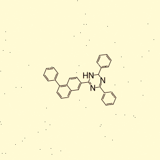 c1ccc(C2=NC(c3ccccc3)NC(c3ccc4c(-c5ccccc5)cccc4c3)=N2)cc1